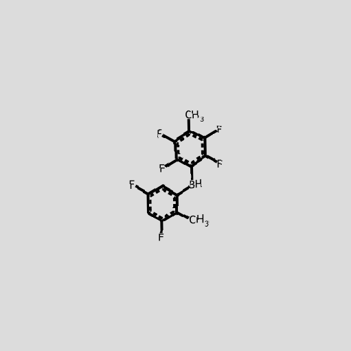 Cc1c(F)cc(F)cc1Bc1c(F)c(F)c(C)c(F)c1F